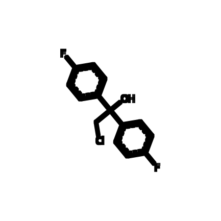 OC(CCl)(c1ccc(F)cc1)c1ccc(F)cc1